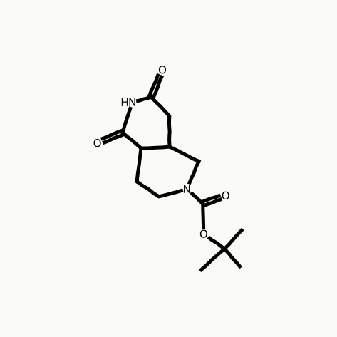 CC(C)(C)OC(=O)N1CCC2C(=O)NC(=O)CC2C1